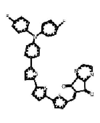 O=C1C(=Cc2ccc(-c3ccc(-c4ccc(-c5ccc(N(c6ccc(F)cc6)c6ccc(F)cc6)cc5)s4)s3)s2)C(=O)c2nccnc21